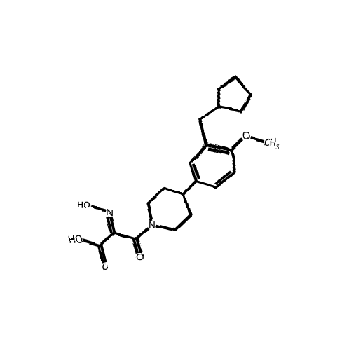 COc1ccc(C2CCN(C(=O)C(=NO)C(=O)O)CC2)cc1CC1CCCC1